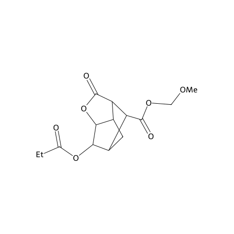 CCC(=O)OC1C2CC3C1OC(=O)C3C2C(=O)OCOC